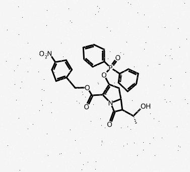 C[C@@H](O)C1C(=O)N2C(C(=O)OCc3ccc([N+](=O)[O-])cc3)=C(OP(=O)(c3ccccc3)c3ccccc3)CC12